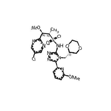 COc1cccc(-c2nnc(NS(=O)(=O)[C@@H](C)[C@H](OC)c3ncc(Cl)cn3)n2C[C@H]2COCCO2)n1